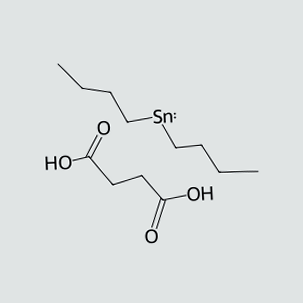 CCC[CH2][Sn][CH2]CCC.O=C(O)CCC(=O)O